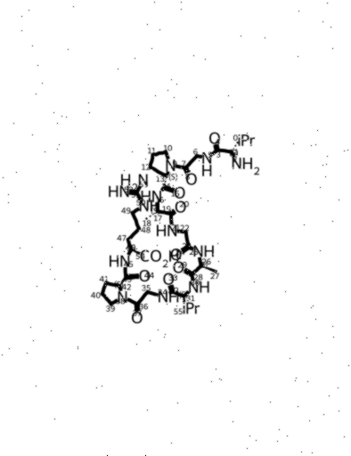 CC(C)[C@H](N)C(=O)NCC(=O)N1CCC[C@H]1C(=O)N[C@@H](C)C(=O)NCC(=O)N[C@@H](C)C(=O)N[C@H](C(=O)NCC(=O)N1CCC[C@H]1C(=O)N[C@@H](CCCNC(=N)N)C(=O)O)C(C)C